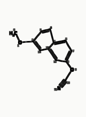 COc1ccc2ccc(OC#N)cc2c1